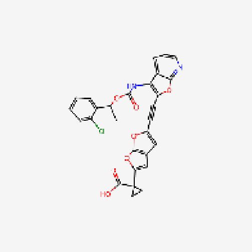 CC(OC(=O)Nc1c(C#Cc2cc3cc(C4(C(=O)O)CC4)oc3o2)oc2ncccc12)c1ccccc1Cl